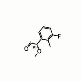 CO[C@@H]([C]=O)c1cccc(F)c1C